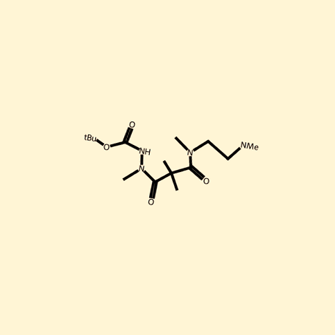 CNCCN(C)C(=O)C(C)(C)C(=O)N(C)NC(=O)OC(C)(C)C